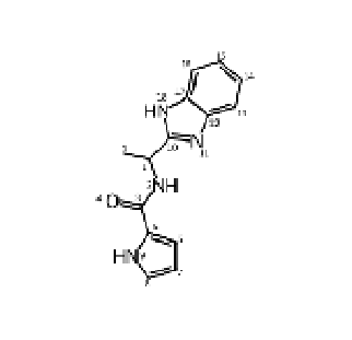 CC(NC(=O)c1ccc[nH]1)c1nc2ccccc2[nH]1